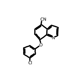 N#Cc1ccc(Oc2cccc(Cl)c2)c2ncccc12